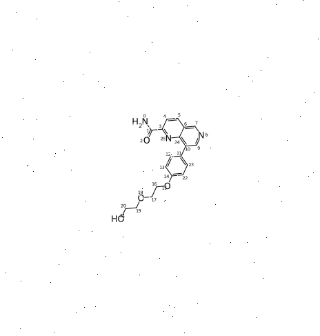 NC(=O)c1ccc2cncc(-c3ccc(OCCOCCO)cc3)c2n1